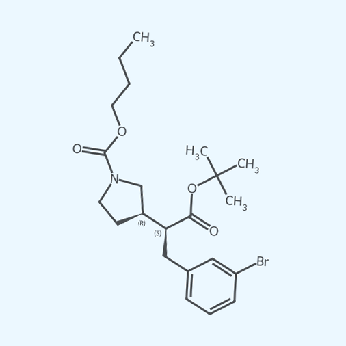 CCCCOC(=O)N1CC[C@H]([C@H](Cc2cccc(Br)c2)C(=O)OC(C)(C)C)C1